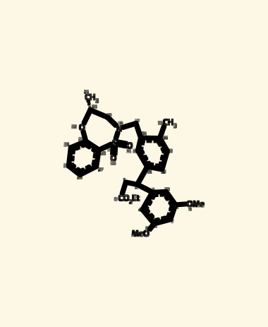 CCOC(=O)CC(c1cc(OC)cc(OC)c1)c1ccc(C)c(CN2C[C@@H](C)Oc3ccccc3S2(=O)=O)c1